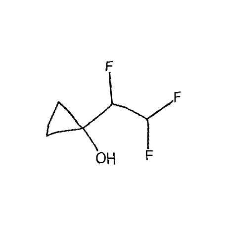 OC1(C(F)C(F)F)CC1